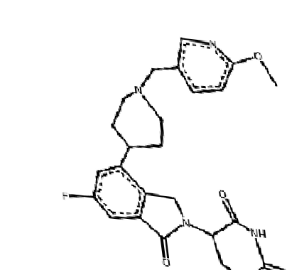 COc1ccc(CN2CCC(c3cc(F)cc4c3CN(C3CCC(=O)NC3=O)C4=O)CC2)cn1